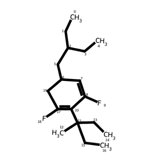 CCC(CC)CC1C=C(F)C(C(C)(CC)CC)=C(F)C1